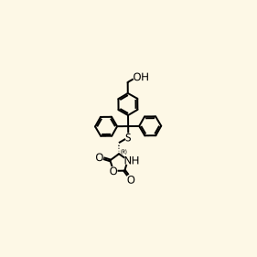 O=C1N[C@@H](CSC(c2ccccc2)(c2ccccc2)c2ccc(CO)cc2)C(=O)O1